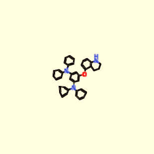 c1ccc(N(c2ccccc2)c2cc(Oc3cccc4c3CCCN4)cc(N(c3ccccc3)c3ccccc3)c2)cc1